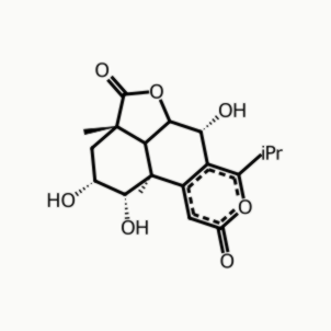 CC(C)c1oc(=O)cc2c1[C@@H](O)C1OC(=O)[C@@]3(C)C[C@@H](O)[C@@H](O)[C@@]2(C)C13